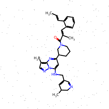 Bc1cnn2c(NCC3=CC(C)CN=C3)cc(C3CCCN(C(=O)/C(C)=C/c4ccccc4/C=C/C)C3)nc12